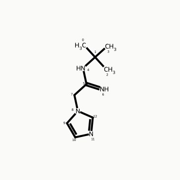 CC(C)(C)NC(=N)Cn1ccnc1